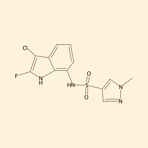 Cn1cc(S(=O)(=O)Nc2cccc3c(Cl)c(F)[nH]c23)cn1